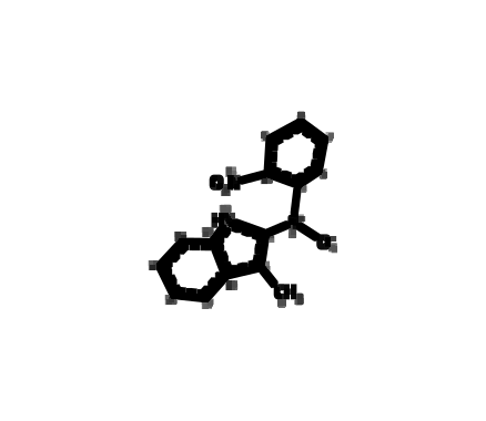 Cc1c([S+]([O-])c2ccccc2[N+](=O)[O-])[nH]c2ccccc12